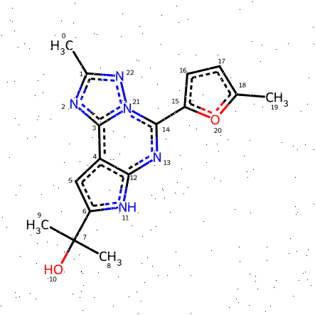 Cc1nc2c3cc(C(C)(C)O)[nH]c3nc(-c3ccc(C)o3)n2n1